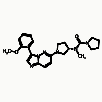 COc1ccccc1-c1cnc2ccc(N3CC[C@H](N(C)C(=O)N4CCCC4)C3)nn12